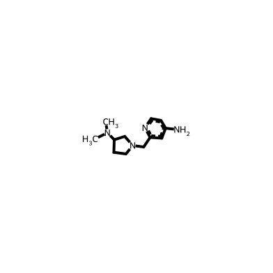 CN(C)C1CCN(Cc2cc(N)ccn2)C1